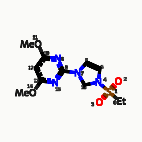 CCS(=O)(=O)N1C=CN(c2nc(OC)cc(OC)n2)C1